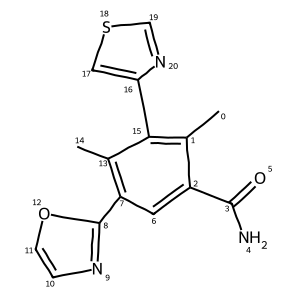 Cc1c(C(N)=O)cc(-c2ncco2)c(C)c1-c1cscn1